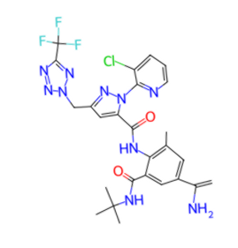 C=C(N)c1cc(C)c(NC(=O)c2cc(Cn3nnc(C(F)(F)F)n3)nn2-c2ncccc2Cl)c(C(=O)NC(C)(C)C)c1